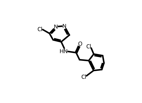 O=C(Cc1c(Cl)cccc1Cl)Nc1cnnc(Cl)c1